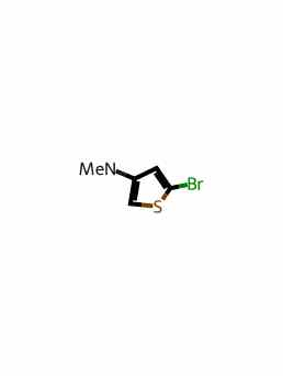 CNc1csc(Br)c1